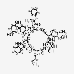 CC(O)[C@@H]1NC(=O)[C@H](CCCCN)NC(=O)[C@@H](Cc2c[nH]c3ccccc23)NC(=O)[C@H](Cc2ccccc2)NC(=O)[C@@H](NC(=O)[C@H](N)Cc2ccccc2)CSSC[C@@H](C(=O)N[C@H](CO)[C@@H](C)O)NC1=O.O=C(O)/C=C\C(=O)O